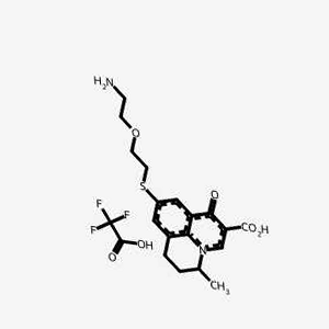 CC1CCc2cc(SCCOCCN)cc3c(=O)c(C(=O)O)cn1c23.O=C(O)C(F)(F)F